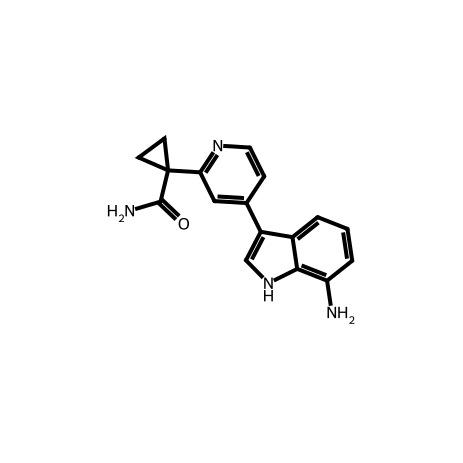 NC(=O)C1(c2cc(-c3c[nH]c4c(N)cccc34)ccn2)CC1